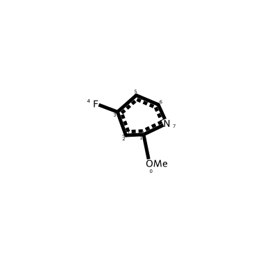 COc1[c]c(F)ccn1